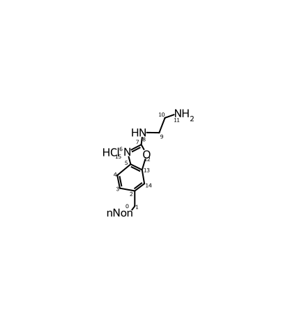 CCCCCCCCCCc1ccc2nc(NCCN)oc2c1.Cl